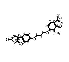 CCCc1c(OCCCOc2ccc(C3(F)SC(=O)NC3=O)cc2)ccc2c(C(F)(F)F)noc12